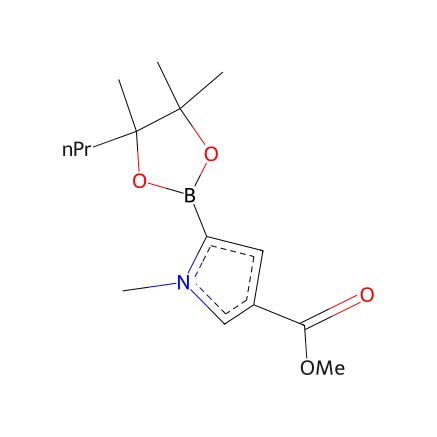 CCCC1(C)OB(c2cc(C(=O)OC)cn2C)OC1(C)C